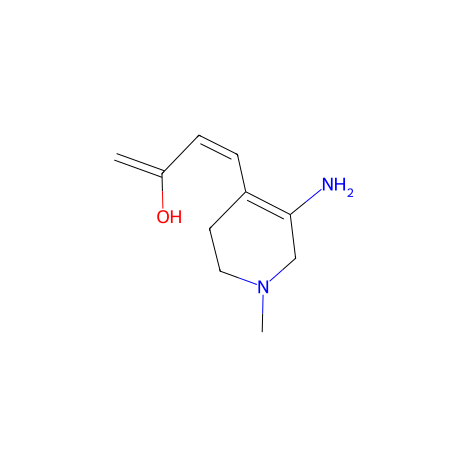 C=C(O)/C=C\C1=C(N)CN(C)CC1